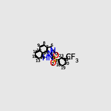 O=S(=O)(Nn1ncc2ccc3ccccc3c21)C1=CCCC(C(F)(F)F)=C1